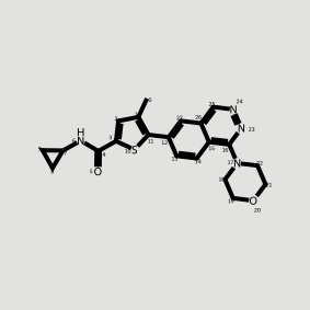 Cc1cc(C(=O)NC2CC2)sc1-c1ccc2c(N3CCOCC3)nncc2c1